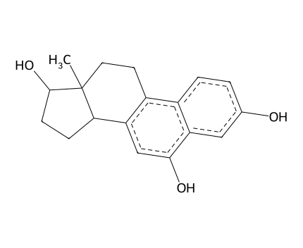 CC12CCc3c(cc(O)c4cc(O)ccc34)C1CCC2O